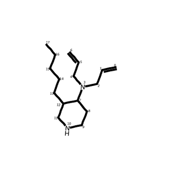 C=CCN(CC=C)C1CCNCC1CCCCC